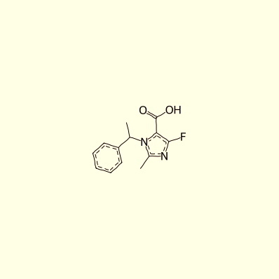 Cc1nc(F)c(C(=O)O)n1C(C)c1ccccc1